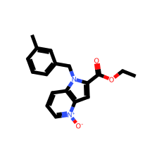 CCOC(=O)c1cc2c(ccc[n+]2[O-])n1Cc1cccc(C)c1